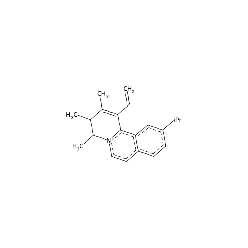 C=CC1=C(C)C(C)C(C)[n+]2ccc3ccc(C(C)C)cc3c21